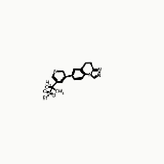 CCS(=O)(=O)C(C)(C)c1cncc(-c2ccc3c(c2)CCc2nncn2-3)c1